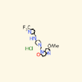 COc1cnc2ccc(=O)n(CCN3CCC(NCc4ccc(C(F)(F)F)nc4)CC3)c2c1.Cl